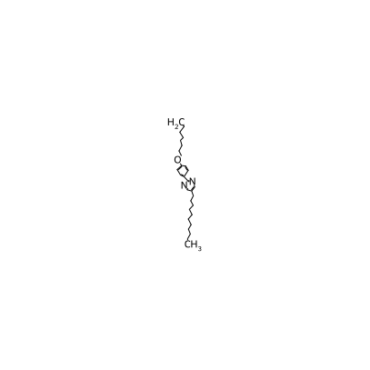 C=CCCCCCCOc1ccc(-c2ncc(CCCCCCCCCCC)cn2)cc1